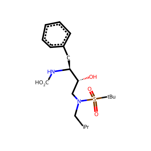 CC(C)CN(C[C@@H](O)[C@H](Cc1ccccc1)NC(=O)O)S(=O)(=O)C(C)(C)C